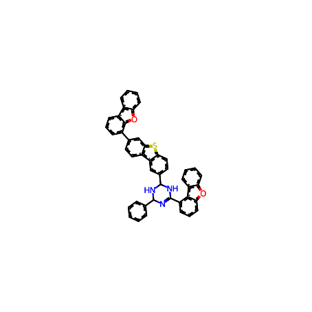 c1ccc(C2N=C(c3cccc4oc5ccccc5c34)NC(c3ccc4sc5cc(-c6cccc7c6oc6ccccc67)ccc5c4c3)N2)cc1